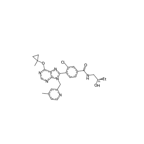 CC[C@@H](O)CNC(=O)c1ccc(-c2nc3c(OC4(C)CC4)ncnc3n2Cc2cc(C)ccn2)c(Cl)c1